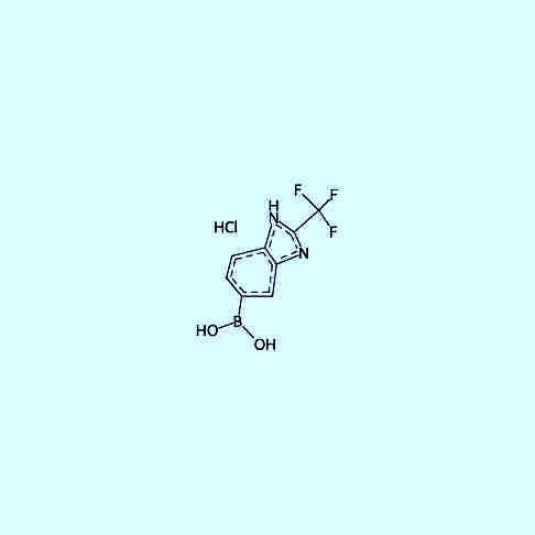 Cl.OB(O)c1ccc2[nH]c(C(F)(F)F)nc2c1